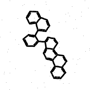 c1ccc(-c2cccc3c2ccc2c4ccccc4ccc32)c(-c2cccc3ccccc23)c1